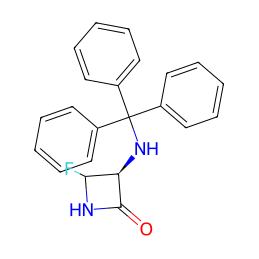 O=C1NC(F)[C@H]1NC(c1ccccc1)(c1ccccc1)c1ccccc1